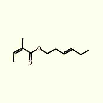 CC=C(C)C(=O)OCCC=CCC